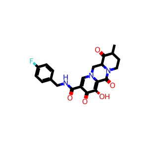 CC1CCN2C(=O)c3c(O)c(=O)c(C(=O)NCc4ccc(F)cc4)cn3CC2C1=O